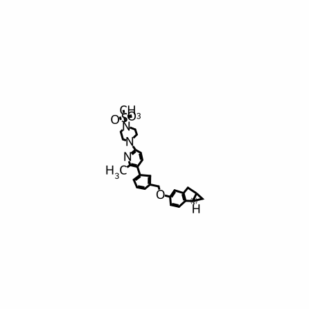 Cc1nc(N2CCN(S(C)(=O)=O)CC2)ccc1-c1cccc(COc2ccc3c(c2)CC2C[C@@H]32)c1